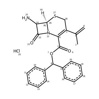 C=C(C)C1=C(C(=O)OC(c2ccccc2)c2ccccc2)N2C(=O)C(N)[C@H]2SC1.Cl